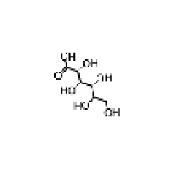 O=C(O)[C@H](O)[C@@H](O)[C@H](O)C(O)CO